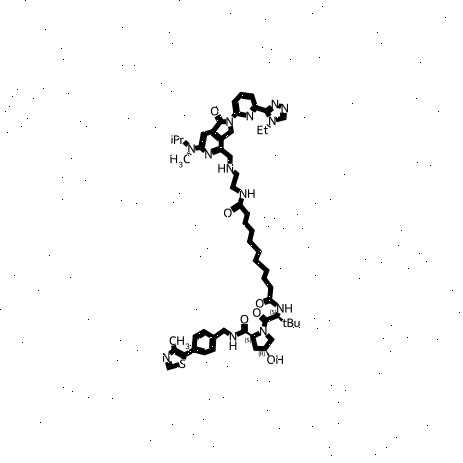 CCn1cnnc1-c1cccc(N2Cc3c(cc(N(C)C(C)C)nc3CNCCNC(=O)CCCCCCCCCC(=O)N[C@H](C(=O)N3C[C@H](O)C[C@H]3C(=O)NCc3ccc(-c4scnc4C)cc3)C(C)(C)C)C2=O)n1